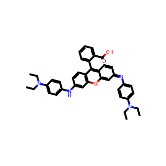 CCN(CC)c1ccc(/N=c2/ccc3c(-c4ccccc4C(=O)O)c4ccc(Nc5ccc(N(CC)CC)cc5)cc4oc-3c2)cc1